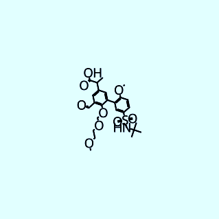 COCCOCOc1c(C=O)cc(C(C)C(=O)O)cc1-c1cc(S(=O)(=O)NC(C)(C)C)ccc1OC